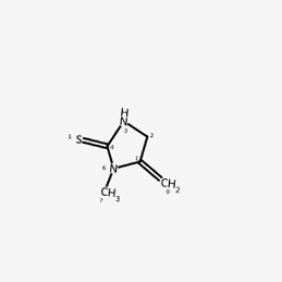 C=C1CNC(=S)N1C